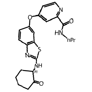 CCCNC(=O)c1cc(Oc2ccc3nc(N[C@@H]4CCCCC4=O)sc3c2)ccn1